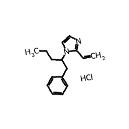 C=Cc1nccn1C(CCC)Cc1ccccc1.Cl